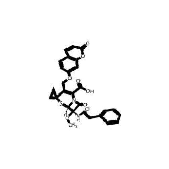 CO[C@@]1(NC(=O)Cc2ccccc2)C(=O)N2C(C(=O)O)=C(COc3ccc4ccc(=O)oc4c3)C3(CC3)S[C@@H]21